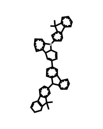 CC1(C)C2=C(C=CCC2)c2ccc(C3c4ccccc4-c4cc(C5=CC6c7ccccc7N(c7ccc8c(c7)C(C)(C)c7ccccc7-8)C6C=C5)ccc43)cc21